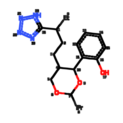 CCC(CCC1COC(C(C)C)OC1c1ccccc1O)c1nnn[nH]1